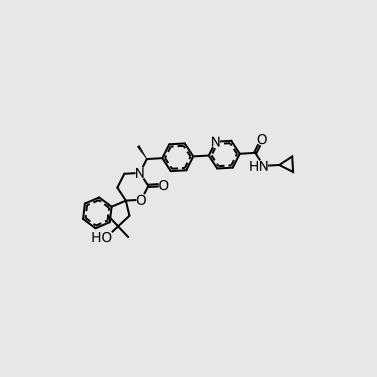 C[C@@H](c1ccc(-c2ccc(C(=O)NC3CC3)cn2)cc1)N1CCC(CC(C)(C)O)(c2ccccc2)OC1=O